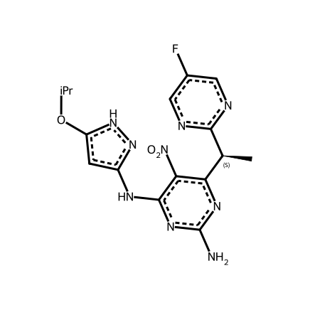 CC(C)Oc1cc(Nc2nc(N)nc([C@H](C)c3ncc(F)cn3)c2[N+](=O)[O-])n[nH]1